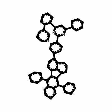 c1ccc(-c2cc(-c3ccccc3-c3cccnc3)nc(-c3ccc(-c4ccc5c6c(cccc46)-c4c-5c(-c5ccccc5)c5ccccc5c4-c4ccccc4)cc3)n2)cc1